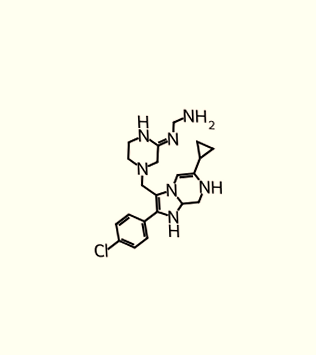 NC/N=C1/CN(CC2=C(c3ccc(Cl)cc3)NC3CNC(C4CC4)=CN23)CCN1